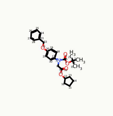 CC(C)(C)OC(=O)N(CC(=O)OC1CCCC1)c1ccc(OCc2ccccc2)cc1